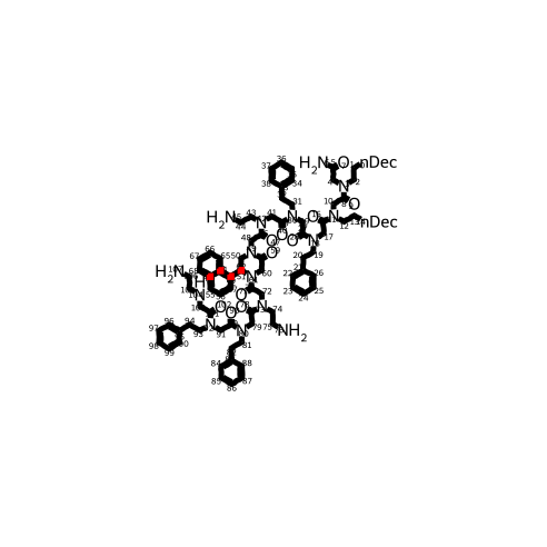 CCCCCCCCCCCCN(CC(N)=O)C(=O)CN(CCCCCCCCCCCC)C(=O)CN(CCc1ccccc1)C(=O)CN(CCc1ccccc1)C(=O)CN(CCN)C(=O)CN(CCc1ccccc1)C(=O)CN(CCc1ccccc1)C(=O)CN(CCN)C(=O)CN(CCc1ccccc1)C(=O)CN(CCc1ccccc1)C(=O)CNCCN